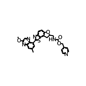 COc1cnc2c(-c3nc4ccc5c(c4s3)CC(CNC(=O)OCc3ccncc3)O5)cc(C)cc2n1